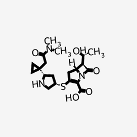 C[C@@H](O)[C@H]1C(=O)N2C(C(=O)O)=C(S[C@@H]3CN[C@H](C4(CC(=O)N(C)C)CC4)C3)C[C@H]12